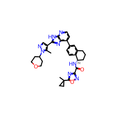 Cc1c(-c2nc3c(-c4ccc5c(c4)CCC[C@@H]5NC(=O)c4noc(C5(C)CC5)n4)ccnc3[nH]2)cnn1C1CCOCC1